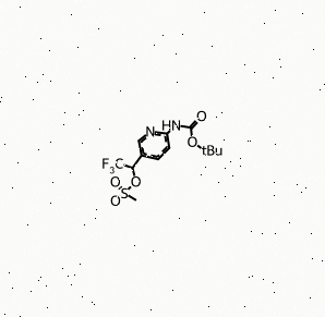 CC(C)(C)OC(=O)Nc1ccc(C(OS(C)(=O)=O)C(F)(F)F)cn1